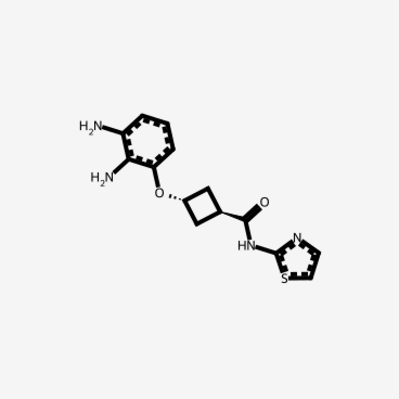 Nc1cccc(O[C@H]2C[C@H](C(=O)Nc3nccs3)C2)c1N